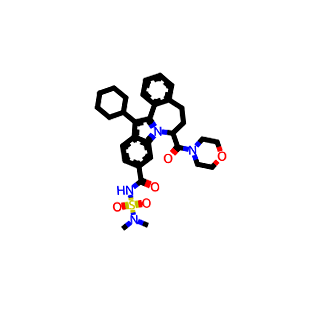 CN(C)S(=O)(=O)NC(=O)c1ccc2c(C3CCCCC3)c3n(c2c1)C(C(=O)N1CCOCC1)CCc1ccccc1-3